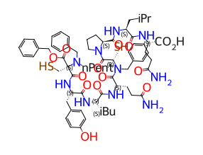 CCCCCN(Cc1ccccc1)[C@@](CS)(C(=O)N[C@@H](Cc1ccc(O)cc1)C(=O)N[C@H](C(=O)N[C@@H](CCC(N)=O)C(=O)N(Cc1ccccc1)[C@@H](CS)C(=O)N1CCC[C@H]1C(=O)N[C@@H](CC(C)C)C(=O)N[C@@H](CCC(N)=O)C(=O)O)[C@@H](C)CC)C(=O)OCc1ccccc1